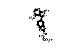 CCOC(=O)NNc1nc2cc(-c3nn(C(C)C)c4ncnc(N)c34)ccc2o1